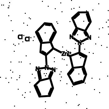 C1=C(n2nc3ccccc3n2)[CH]([Zr+2][CH]2C(n3nc4ccccc4n3)=Cc3ccccc32)c2ccccc21.[Cl-].[Cl-]